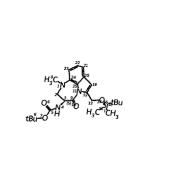 CN1C[C@H](NC(=O)OC(C)(C)C)C(=O)n2c(CO[Si](C)(C)C(C)(C)C)cc3cccc1c32